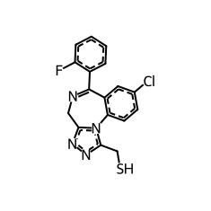 Fc1ccccc1C1=NCc2nnc(CS)n2-c2ccc(Cl)cc21